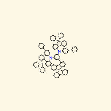 c1ccc(-c2ccc(N(c3cc(-c4cccc5c4-c4ccccc4C54c5ccccc5-c5ccccc54)cc(N(c4ccc(-c5ccccc5)cc4)c4cccc5c4-c4ccccc4C5(c4ccccc4)c4ccccc4)c3)c3cccc4c3-c3ccccc3C4(c3ccccc3)c3ccccc3)cc2)cc1